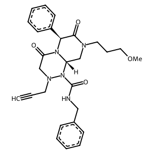 C#CCN1CC(=O)N2[C@@H](c3ccccc3)C(=O)N(CCCOC)C[C@@H]2N1C(=O)NCc1ccccc1